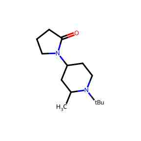 CC1CC(N2CCCC2=O)CCN1C(C)(C)C